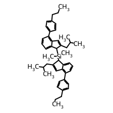 CCCc1ccc(-c2cccc3c2C=C(CC(C)C)C3[Si](C)(C)C2C(CC(C)C)=Cc3c(-c4ccc(CCC)cc4)cccc32)cc1